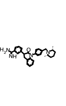 C[C@@H]1CCC[C@H](C)N1Cc1ccc(N2C(=O)C(c3cccc(C(=N)N)c3)Cc3ccccc32)cc1